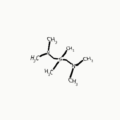 CN(C)S(C)(C)N(C)C